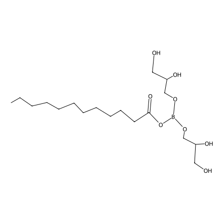 CCCCCCCCCCCC(=O)OB(OCC(O)CO)OCC(O)CO